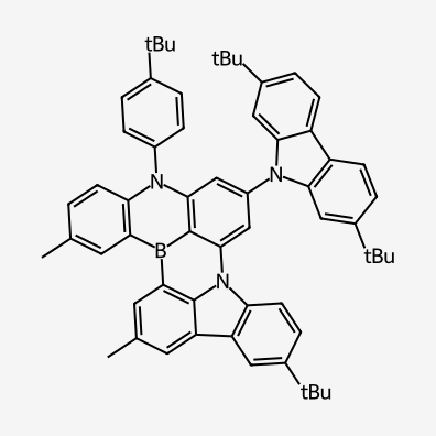 Cc1ccc2c(c1)B1c3c(cc(-n4c5cc(C(C)(C)C)ccc5c5ccc(C(C)(C)C)cc54)cc3-n3c4ccc(C(C)(C)C)cc4c4cc(C)cc1c43)N2c1ccc(C(C)(C)C)cc1